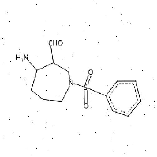 NC1CCCN(S(=O)(=O)c2ccccc2)CC1C=O